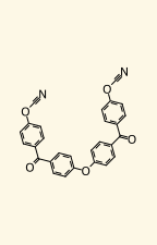 N#COc1ccc(C(=O)c2ccc(Oc3ccc(C(=O)c4ccc(OC#N)cc4)cc3)cc2)cc1